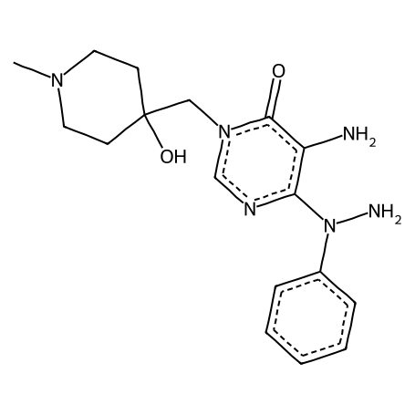 CN1CCC(O)(Cn2cnc(N(N)c3ccccc3)c(N)c2=O)CC1